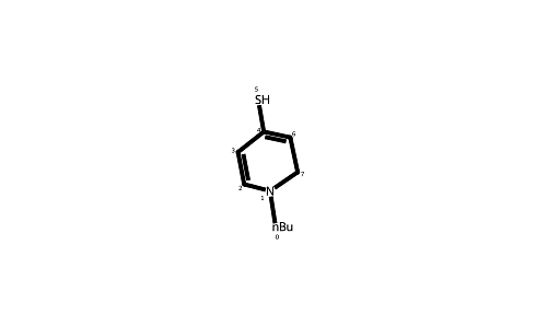 CCCCN1C=CC(S)=CC1